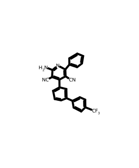 N#Cc1c(N)nc(-c2ccccc2)c(C#N)c1-c1cccc(-c2ccc(C(F)(F)F)cc2)c1